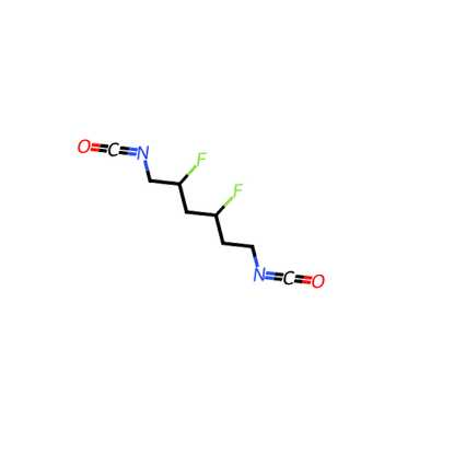 O=C=NCCC(F)CC(F)CN=C=O